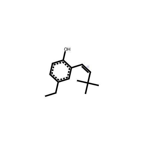 CCc1ccc(O)c(/C=C\C(C)(C)C)c1